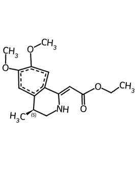 CCOC(=O)C=C1NC[C@@H](C)c2cc(OC)c(OC)cc21